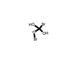 OC(O)(Br)OBr